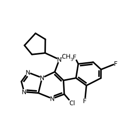 CN(c1c(-c2c(F)cc(F)cc2F)c(Cl)nc2ncnn12)C1CCCC1